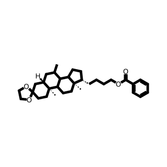 CC1C[C@H]2CC3(CC[C@]2(C)C2CC[C@@]4(C)C(CC[C@@H]4CCCCOC(=O)c4ccccc4)C12)OCCO3